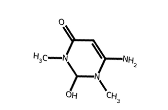 CN1C(=O)C=C(N)N(C)C1O